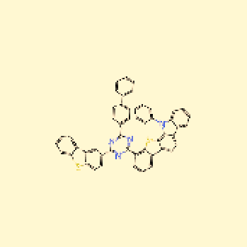 c1ccc(-c2ccc(-c3nc(-c4ccc5sc6ccccc6c5c4)nc(-c4cccc5c4sc4c5ccc5c6ccccc6n(-c6ccccc6)c54)n3)cc2)cc1